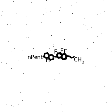 C=CCCc1ccc2cc([C@@H]3CC[C@@H]4CC(CCCCC)CCC4C3)c(F)c(F)c2c1F